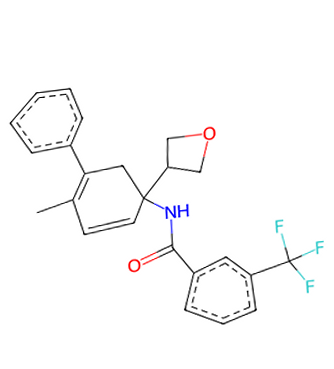 CC1=C(c2ccccc2)CC(NC(=O)c2cccc(C(F)(F)F)c2)(C2COC2)C=C1